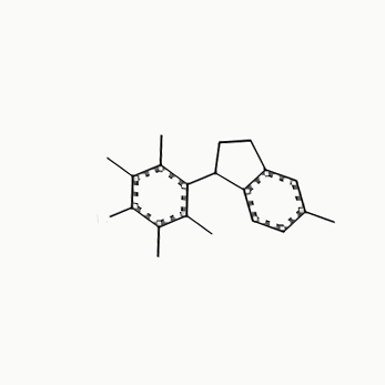 Cc1ccc2c(c1)CCC2c1c(C)c(C)c(S)c(C)c1C